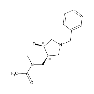 CN(C[C@@H]1CN(Cc2ccccc2)C[C@@H]1F)C(=O)C(F)(F)F